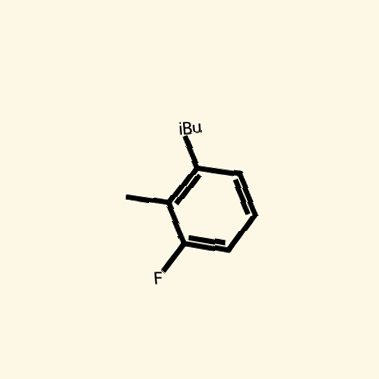 CCC(C)c1cccc(F)c1C